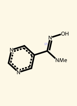 CN/C(=N\O)c1cncnc1